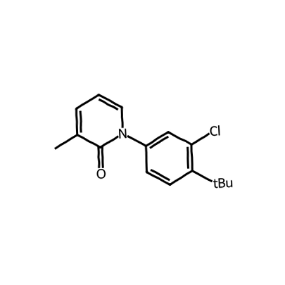 Cc1cccn(-c2ccc(C(C)(C)C)c(Cl)c2)c1=O